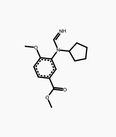 COC(=O)c1ccc(OC)c(N(C=N)C2CCCC2)c1